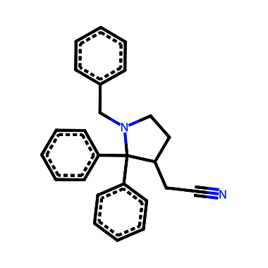 N#CCC1CCN(Cc2ccccc2)C1(c1ccccc1)c1ccccc1